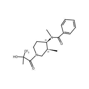 C[C@H]1CN(C(=O)C(C)(O)C(F)(F)F)CC[C@H]1N(C)C(=O)c1ccccc1